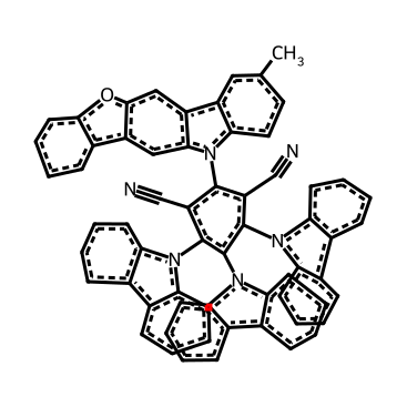 Cc1ccc2c(c1)c1cc3oc4ccccc4c3cc1n2-c1c(C#N)c(-n2c3ccccc3c3ccccc32)c(-n2c3ccccc3c3ccccc32)c(-n2c3ccccc3c3ccccc32)c1C#N